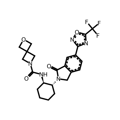 O=C(N[C@@H]1CCCC[C@H]1N1Cc2ccc(-c3noc(C(F)(F)F)n3)cc2C1=O)N1CC2(COC2)C1